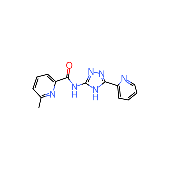 Cc1cccc(C(=O)Nc2nnc(-c3ccccn3)[nH]2)n1